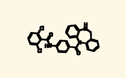 O=C(Nc1ccc(C(=O)N2c3ccccc3CNc3ccccc32)cc1)c1c(Cl)cccc1Cl